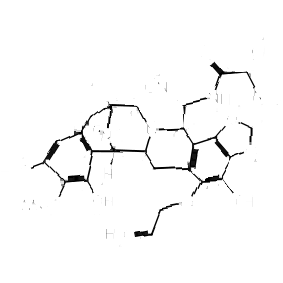 C=CCOc1c(C)c2c(c3c1CC1[C@@H]4c5c(cc(C)c(OC)c5O)C[C@H]([C@H](C#N)N1[C@H]3CNC(=O)[C@H](C)N)N4C)OCO2